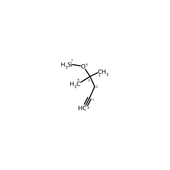 C#CCC(C)(C)O[SiH3]